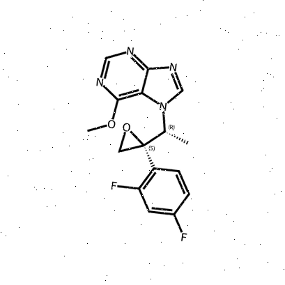 COc1ncnc2ncn([C@H](C)[C@@]3(c4ccc(F)cc4F)CO3)c12